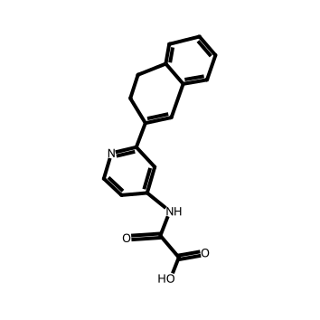 O=C(O)C(=O)Nc1ccnc(C2=Cc3ccccc3CC2)c1